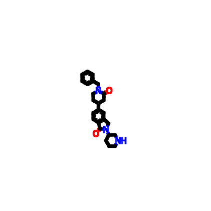 O=C1CC(c2ccc3c(c2)CN(C2CCCNC2)C3=O)CCN1Cc1ccccc1